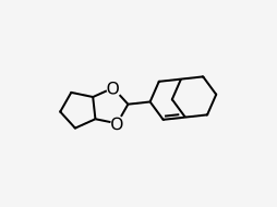 C1=C2CCCC(C2)CC1C1OC2CCCC2O1